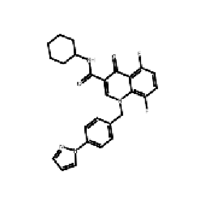 O=C(NC1CCCCC1)c1cn(Cc2ccc(-n3cccn3)cc2)c2c(F)ccc(F)c2c1=O